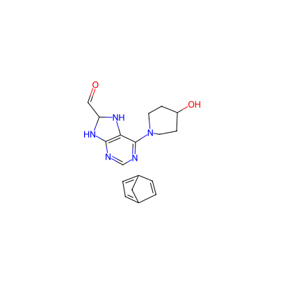 C1=CC2=CC=C1C2.O=CC1Nc2ncnc(N3CCC(O)CC3)c2N1